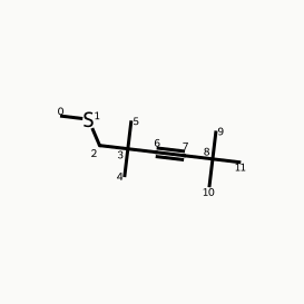 CSCC(C)(C)C#CC(C)(C)C